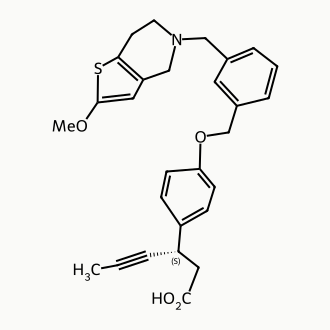 CC#C[C@@H](CC(=O)O)c1ccc(OCc2cccc(CN3CCc4sc(OC)cc4C3)c2)cc1